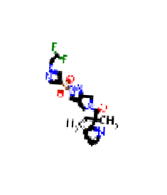 CCC(C)(C(=O)N1Cc2cn(S(=O)(=O)c3cnn(CC(F)F)c3)nc2C1)c1ccccn1